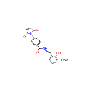 COc1cccc(/C=N/NC(=O)c2ccc(N3C(=O)C=CC3=O)cc2)c1O